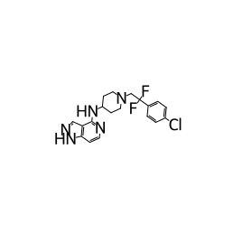 FC(F)(CN1CCC(Nc2nccc3[nH]ncc23)CC1)c1ccc(Cl)cc1